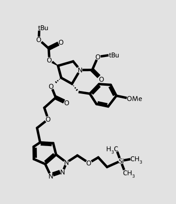 COc1ccc(C[C@@H]2[C@H](OC(=O)COCc3ccc4nnn(COCC[Si](C)(C)C)c4c3)[C@@H](OC(=O)OC(C)(C)C)CN2C(=O)OC(C)(C)C)cc1